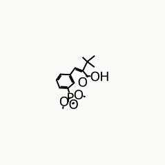 COP(=O)(OC)c1cccc(C=C(C(=O)O)C(C)(C)C)c1